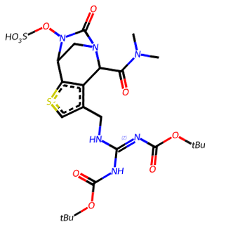 CN(C)C(=O)C1c2c(CN/C(=N/C(=O)OC(C)(C)C)NC(=O)OC(C)(C)C)csc2C2CN1C(=O)N2OS(=O)(=O)O